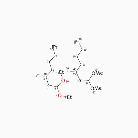 CCOC(C[C@H](C)CCCC(C)C)OCC.COC(C[C@H](C)CCCC(C)C)OC